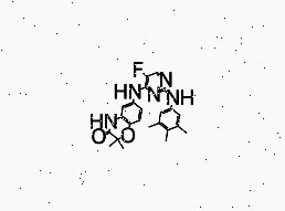 Cc1cc(Nc2ncc(F)c(Nc3ccc4c(c3)NC(=O)C(C)(C)O4)n2)cc(C)c1C